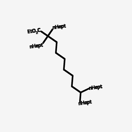 CCCCCCCC(CCCCCCC)CCCCCCC(CCCCCCC)(CCCCCCC)C(=O)OCC